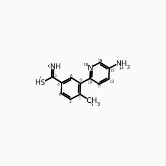 Cc1ccc(C(=N)S)cc1-c1ccc(N)cn1